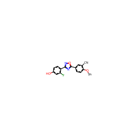 CC(C)Oc1ccc(-c2nc(-c3ccc(O)cc3F)no2)cc1C#N